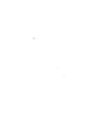 COc1cccc(-c2ccncc2)c1